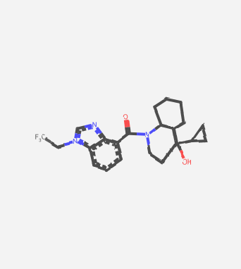 O=C(c1cccc2c1ncn2CC(F)(F)F)N1CCC(O)(C2CC2)C2CCCCC21